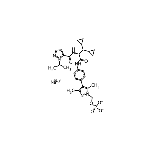 Cc1nn(COP(=O)([O-])[O-])c(C)c1-c1ccc(NC(=O)[C@@H](NC(=O)c2ccnn2C(C)C)C(C2CC2)C2CC2)cc1.[Na+].[Na+]